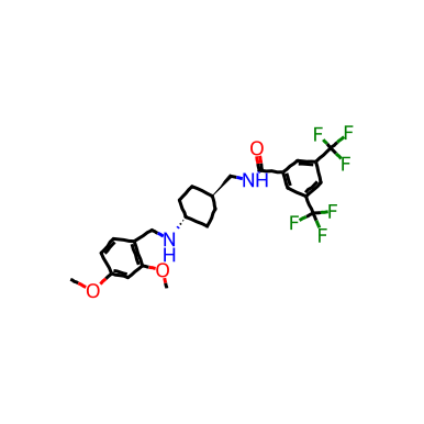 COc1ccc(CN[C@H]2CC[C@H](CNC(=O)c3cc(C(F)(F)F)cc(C(F)(F)F)c3)CC2)c(OC)c1